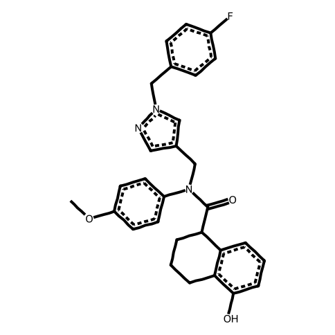 COc1ccc(N(Cc2cnn(Cc3ccc(F)cc3)c2)C(=O)C2CCCc3c(O)cccc32)cc1